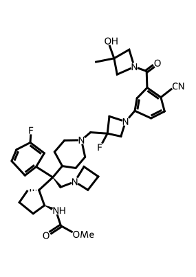 COC(=O)N[C@H]1CCC[C@@H]1[C@](CN1CCC1)(c1cccc(F)c1)C1CCN(CC2(F)CN(c3ccc(C#N)c(C(=O)N4CC(C)(O)C4)c3)C2)CC1